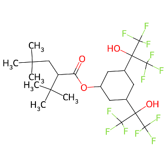 CC(C)(C)CC(C(=O)OC1CC(C(O)(C(F)(F)F)C(F)(F)F)CC(C(O)(C(F)(F)F)C(F)(F)F)C1)C(C)(C)C